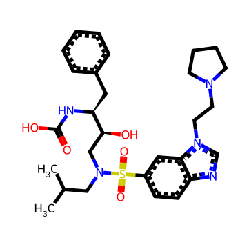 CC(C)CN(C[C@H](O)[C@H](Cc1ccccc1)NC(=O)O)S(=O)(=O)c1ccc2ncn(CCN3CCCC3)c2c1